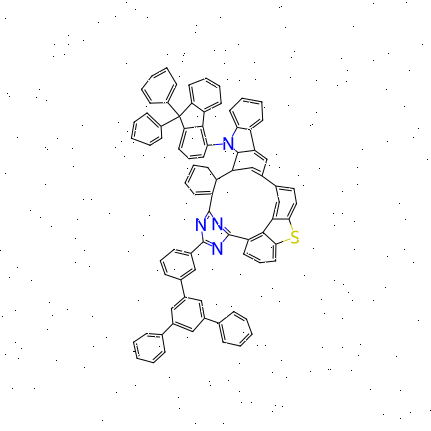 C1=CCC2C(=C1)c1nc(-c3cccc(-c4cc(-c5ccccc5)cc(-c5ccccc5)c4)c3)nc(n1)-c1cccc3sc4ccc(cc4c13)C1=CC2C2C(=C1)c1ccccc1N2c1cccc2c1-c1ccccc1C2(c1ccccc1)c1ccccc1